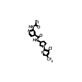 CCC(=O)Nc1cc(C(=O)NC2CCN(c3ncc(C(F)(F)F)cc3Cl)C2)ccn1